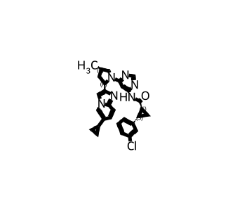 C[C@@H]1C[C@H](c2cn3cc(C4CC4)ccc3n2)N(c2cc(NC(=O)[C@H]3C[C@@H]3c3cccc(Cl)c3)ncn2)C1